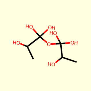 CC(O)C(O)(O)OC(O)(O)C(C)O